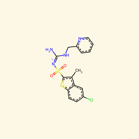 Cc1c(S(=O)(=O)/N=C(/N)NCc2ccccn2)sc2ccc(Cl)cc12